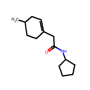 CC1CC=C(CC(=O)NC2CCCC2)CC1